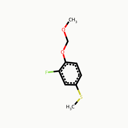 COCOc1ccc(SC)cc1F